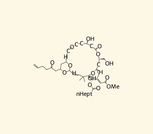 C=CCCC(=O)CC1C[C@H]2CCOCC[C@@H](O)CC(=O)O[C@@H](CO)C[C@@H]3C/C(=C\C(=O)OC)[C@H](OC(=O)CCCCCCC)[C@@](O)(O3)C(C)(C)/C=C/[C@@H](O1)O2